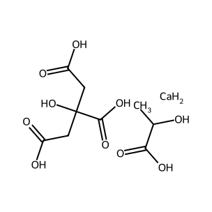 CC(O)C(=O)O.O=C(O)CC(O)(CC(=O)O)C(=O)O.[CaH2]